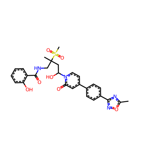 Cc1nc(-c2ccc(-c3ccn(C(O)CC(C)(CNC(=O)c4ccccc4O)S(C)(=O)=O)c(=O)c3)cc2)no1